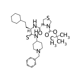 CC(C)(C)OC(=O)N1CSC[C@H]1C(=O)N[C@H](CCC1CCCCC1)C(=S)NC1CCN(Cc2ccccc2)CC1